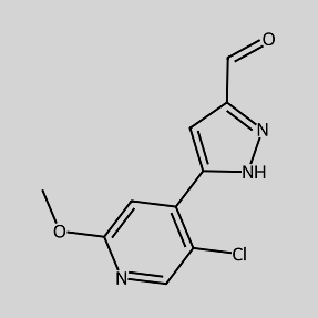 COc1cc(-c2cc(C=O)n[nH]2)c(Cl)cn1